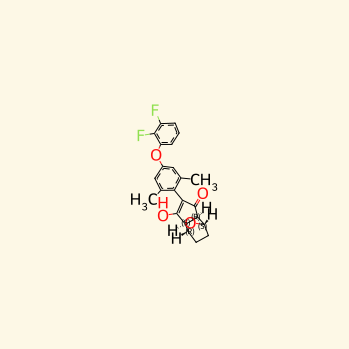 Cc1cc(Oc2cccc(F)c2F)cc(C)c1C1=C(O)[C@H]2[C@@H](C1=O)[C@@H]1CC[C@H]2O1